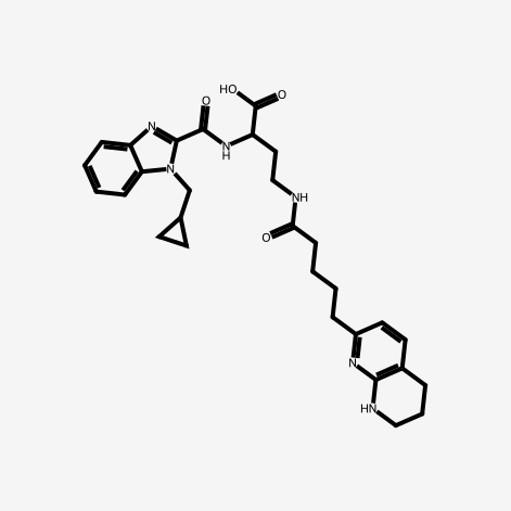 O=C(CCCCc1ccc2c(n1)NCCC2)NCCC(NC(=O)c1nc2ccccc2n1CC1CC1)C(=O)O